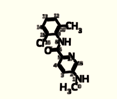 CNc1ccc(C(=O)Nc2c(C)cccc2Cl)nc1